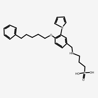 O=P(O)(O)CCCNCc1ccc(OCCCCCc2ccccc2)c(-n2cccc2)c1